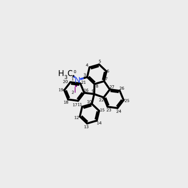 CN(I)c1cccc2c1C(c1ccccc1)(c1ccccc1)c1ccccc1-2